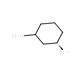 CNC1CCC[C@@H](O)C1